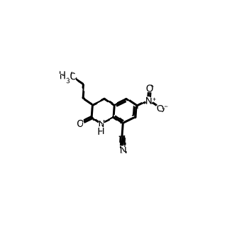 CCCC1Cc2cc([N+](=O)[O-])cc(C#N)c2NC1=O